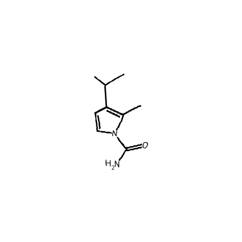 Cc1c(C(C)C)ccn1C(N)=O